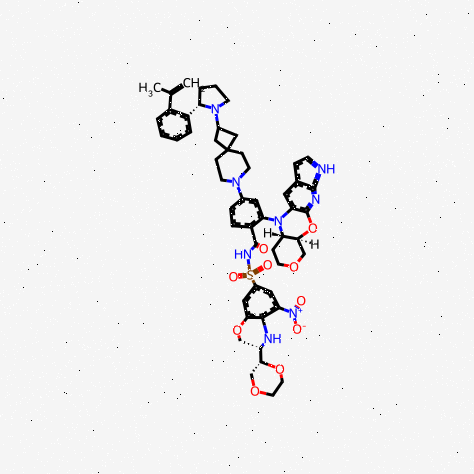 C=C(C)c1ccccc1[C@@H]1CCCN1C1CC2(CCN(c3ccc(C(=O)NS(=O)(=O)c4cc5c(c([N+](=O)[O-])c4)N[C@H]([C@H]4COCCO4)CO5)c(N4c5cc6cc[nH]c6nc5O[C@H]5COCC[C@@H]54)c3)CC2)C1